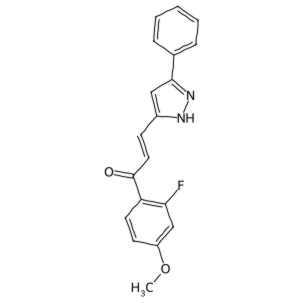 COc1ccc(C(=O)/C=C/c2cc(-c3ccccc3)n[nH]2)c(F)c1